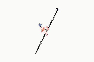 C/C=C\CCCCCCCCCCCCCCC(=O)O[C@H](COC(=O)CCCCCCCCCCCCCCCCC)COP(=O)([O-])OCC[N+](C)(C)C